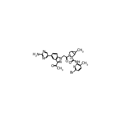 CC(=O)c1nn(CC(=O)N2CC3C(C)C3[C@H]2C(=O)Nc2nc(Br)ccc2C)c2ccc(-c3cnc(N)nc3)cc12